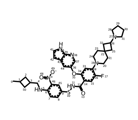 CC1CC(CNc2ccc(SNC(=O)c3cc(F)c(N4CCC5(CC4)CC(N4CCCC4)C5)cc3Oc3cnc4[nH]ccc4c3)cc2[N+](=O)[O-])C1